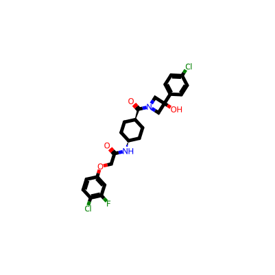 O=C(COc1ccc(Cl)c(F)c1)N[C@H]1CC[C@H](C(=O)N2CC(O)(c3ccc(Cl)cc3)C2)CC1